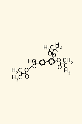 C=C(C)C(=O)OCCOC(O)c1ccc(-c2ccc(OC(=O)C(=C)C)c(OC(=O)C(=C)C)c2)cc1